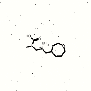 CN(C[C@H](N)CC1CCCOCC1)C(=O)O